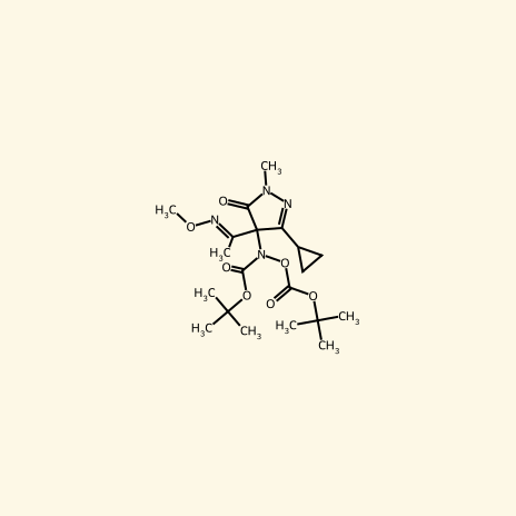 CON=C(C)C1(N(OC(=O)OC(C)(C)C)C(=O)OC(C)(C)C)C(=O)N(C)N=C1C1CC1